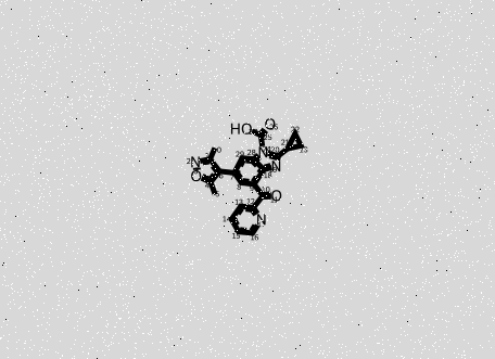 Cc1noc(C)c1-c1cc(C(=O)c2ccccn2)c2nc(C3CC3)n(C(=O)O)c2c1